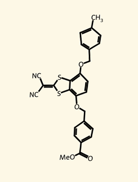 COC(=O)c1ccc(COc2ccc(OCc3ccc(C)cc3)c3c2SC(=C(C#N)C#N)S3)cc1